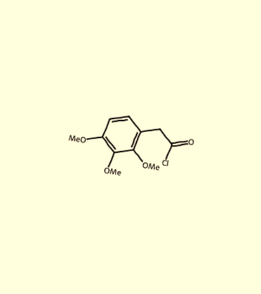 COc1ccc(CC(=O)Cl)c(OC)c1OC